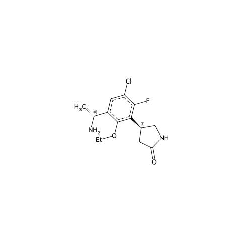 CCOc1c([C@@H](C)N)cc(Cl)c(F)c1[C@H]1CNC(=O)C1